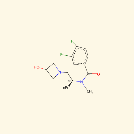 CCC[C@@H](CN1CC(O)C1)N(C)C(=O)c1ccc(F)c(F)c1